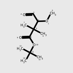 COC(C=O)C(C)(C)C(=O)OC(C)(C)C